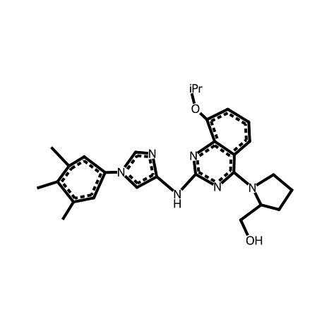 Cc1cc(-n2cnc(Nc3nc(N4CCCC4CO)c4cccc(OC(C)C)c4n3)c2)cc(C)c1C